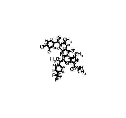 CNC(=O)c1cc(-n2c(N(C)[C@@H](C)c3ccc(C(F)(F)F)cc3)nc3c(c2=O)C[C@@H](C)N(C(=O)c2ccc(Cl)c(Cl)c2)C3)n(C)n1